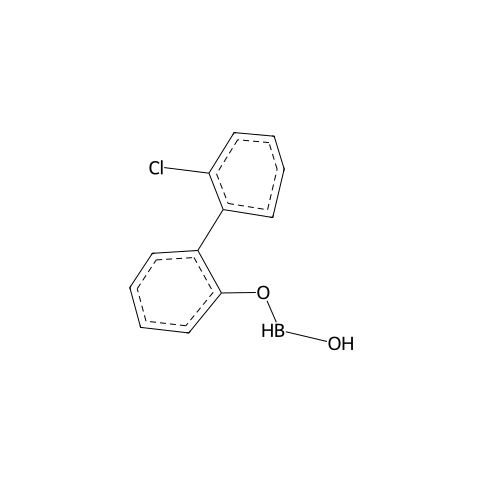 OBOc1ccccc1-c1ccccc1Cl